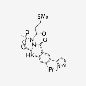 CSCCC(=O)N(n1c(=O)[nH]c2cc(C(C)C)c(-c3ccnn3C)cc2c1=O)S(C)(=O)=O